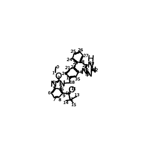 CCOc1nc2cccc(C(=O)C(C)(C)C)c2n1Cc1ccc(-c2ccccc2-c2nnn[nH]2)cc1